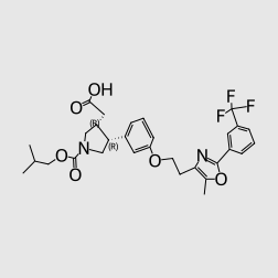 Cc1oc(-c2cccc(C(F)(F)F)c2)nc1CCOc1cccc([C@@H]2CN(C(=O)OCC(C)C)C[C@@H]2CC(=O)O)c1